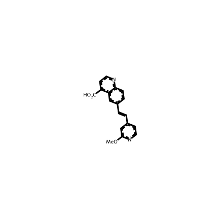 COc1cc(/C=C/c2ccc3nccc(C(=O)O)c3c2)ccn1